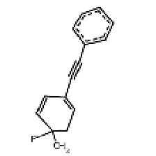 CC1(F)C=CC(C#Cc2ccccc2)=CC1